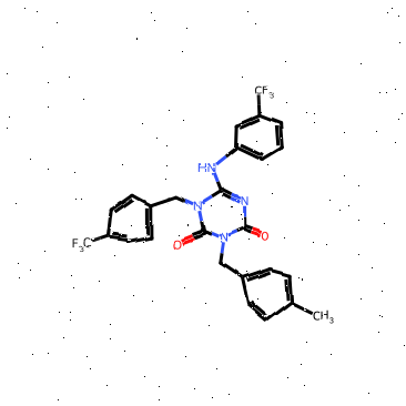 Cc1ccc(Cn2c(=O)nc(Nc3cccc(C(F)(F)F)c3)n(Cc3ccc(C(F)(F)F)cc3)c2=O)cc1